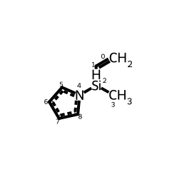 C=C[SiH](C)n1cccc1